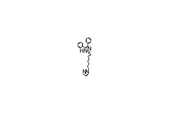 c1ccc(-c2nc(SCCCCCCn3cccn3)[nH]c2-c2ccccc2)cc1